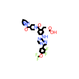 CCc1cc(Nc2nccn3c(-c4ccc(OC(F)F)c(F)c4F)cnc23)ccc1C(=O)N1CCC(C(=O)N2CC3CC(C2)N3)CC1.O=CO